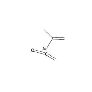 C=C(C)C(C)=O.C=C=O